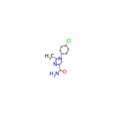 Cc1nc(C(N)=O)cn1-c1ccc(Cl)cc1